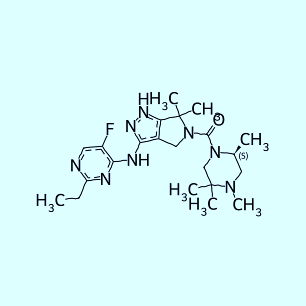 CCc1ncc(F)c(Nc2n[nH]c3c2CN(C(=O)N2CC(C)(C)N(C)C[C@@H]2C)C3(C)C)n1